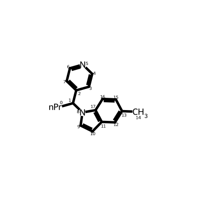 CCCC(c1ccncc1)n1ccc2cc(C)ccc21